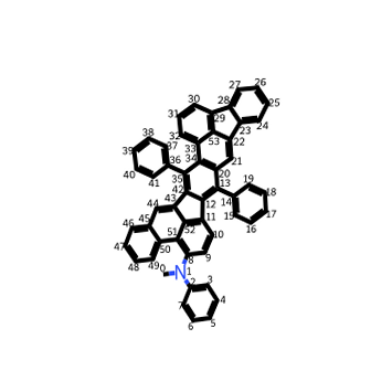 CN(c1ccccc1)c1ccc2c3c(-c4ccccc4)c4cc5c6ccccc6c6cccc(c4c(-c4ccccc4)c3c3cc4ccccc4c1c23)c65